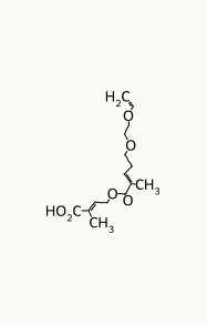 C=COCCOCCC=C(C)C(=O)OCC=C(C)C(=O)O